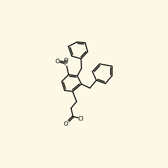 O=C(Cl)CCc1ccc(P(=O)=O)c(Cc2ccccc2)c1Cc1ccccc1